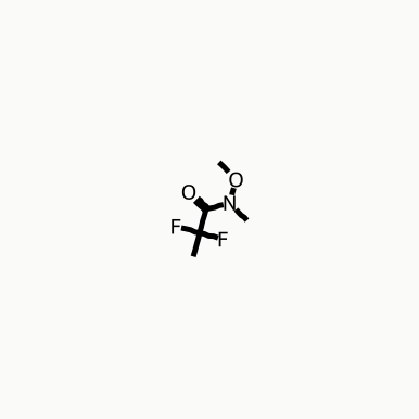 CON(C)C(=O)C(C)(F)F